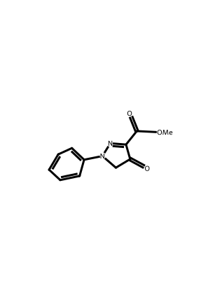 COC(=O)C1=NN(c2ccccc2)CC1=O